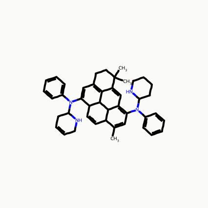 CC1=CC(N(c2ccccc2)C2CCCCN2)=C2C=C3C4=C(C=C(N(c5ccccc5)C5CC=CCN5)C5C=CC1C2C45)CCC3(C)C